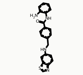 Nc1ccccc1NC(=O)c1ccc(CNc2ccc3ncsc3c2)cc1